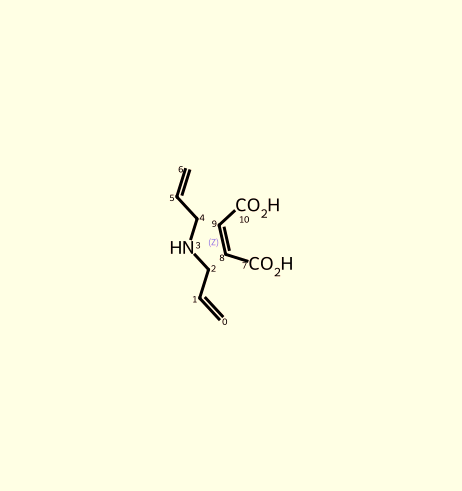 C=CCNCC=C.O=C(O)/C=C\C(=O)O